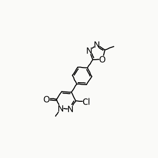 Cc1nnc(-c2ccc(-c3cc(=O)n(C)nc3Cl)cc2)o1